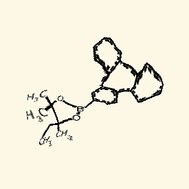 CCC1(C)OB(c2ccc3c4ccccc4c4ccccc4c3c2)OC1(C)C